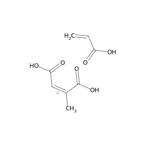 C/C(=C/C(=O)O)C(=O)O.C=CC(=O)O